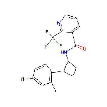 Cc1cc(Cl)ccc1C1CCC1NC(=O)c1cccnc1C(F)(F)F